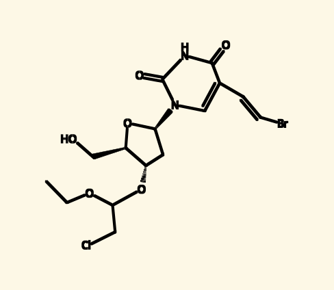 CCOC(CCl)O[C@H]1C[C@H](n2cc(C=CBr)c(=O)[nH]c2=O)O[C@@H]1CO